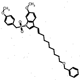 COc1ccc(CS(=O)(=O)n2cc(C=CCCCCCCCCOCc3ccccc3)c3ccc(OC)cc32)cc1